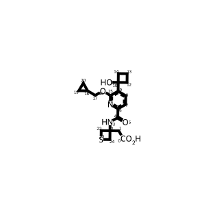 O=C(O)CC1(NC(=O)c2ccc(C3(O)CCC3)c(OCC3CC3)n2)CSC1